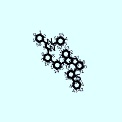 c1ccc(-c2cc(-c3cccc(-c4cccc(-c5cc6c(c7ccccc57)Cc5cccc(-c7cccc8c7sc7ccccc78)c5-6)c4)c3)nc(-c3ccccc3)n2)cc1